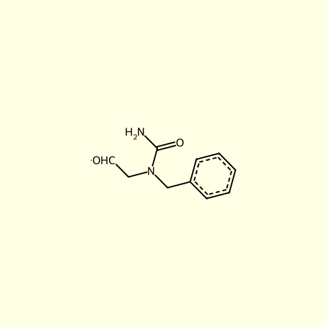 NC(=O)N(C[C]=O)Cc1ccccc1